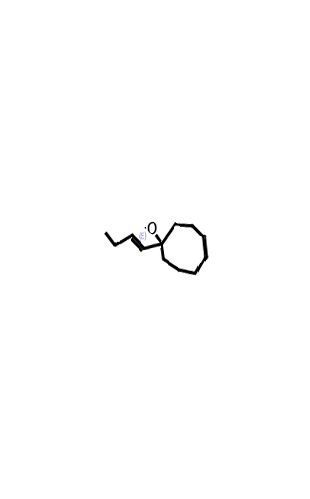 CC/C=C/C1([O])CCCCCCC1